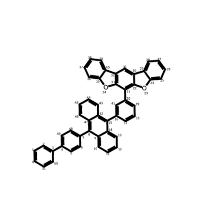 c1ccc(-c2ccc(-c3c4ccccc4c(-c4cccc(-c5c6oc7ccccc7c6cc6c5oc5ccccc56)c4)c4ccccc34)cc2)cc1